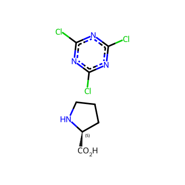 Clc1nc(Cl)nc(Cl)n1.O=C(O)[C@@H]1CCCN1